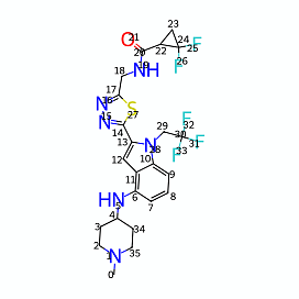 CN1CCC(Nc2cccc3c2cc(-c2nnc(CNC(=O)C4CC4(F)F)s2)n3CC(F)(F)F)CC1